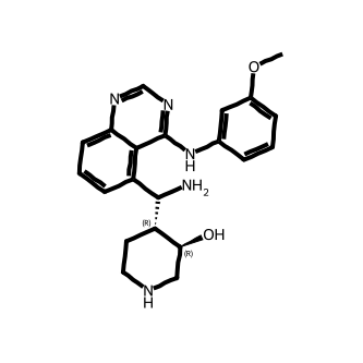 COc1cccc(Nc2ncnc3cccc(C(N)[C@H]4CCNC[C@@H]4O)c23)c1